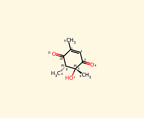 CC1=CC(=O)[C@](C)(O)[C@H](C)C1=O